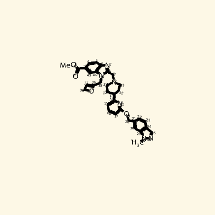 COC(=O)c1ccc2nc(CN3CCC(c4cccc(OCc5ccc6cnn(C)c6c5)n4)CC3)n(CC3=CCO3)c2c1